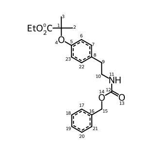 CCOC(=O)C(C)(C)Oc1ccc(CCNC(=O)OCc2ccccc2)cc1